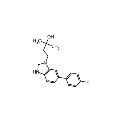 CC(C)(O)CCN1CNc2ccc(-c3ccc(F)cc3)cc21